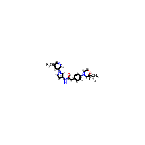 CC1(C)CN(c2ccc(CC(=O)NC3CCN(c4cncc(C(F)(F)F)c4)C3)cc2)CCO1